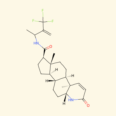 C=C(C(C)NC(=O)[C@@H]1CC[C@@H]2[C@H]3CC[C@H]4NC(=O)C=C[C@]4(C)[C@@H]3CC[C@]21C)C(F)(F)F